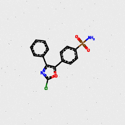 NS(=O)(=O)c1ccc(-c2oc(Cl)nc2-c2ccccc2)cc1